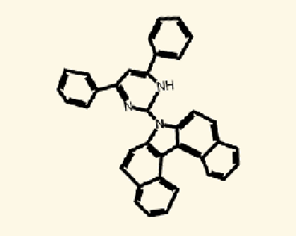 C1=C(c2ccccc2)NC(n2c3ccc4ccccc4c3c3c4ccccc4ccc32)N=C1c1ccccc1